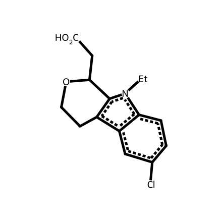 CCn1c2c(c3cc(Cl)ccc31)CCOC2CC(=O)O